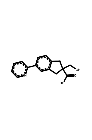 O=C(O)C1(CO)Cc2ccc(-c3ccccn3)cc2C1